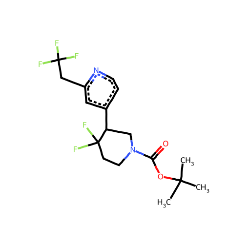 CC(C)(C)OC(=O)N1CCC(F)(F)C(c2ccnc(CC(F)(F)F)c2)C1